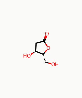 O=C1C[C@H](O)[C@@H](CO)O1